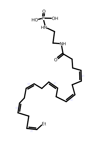 CC/C=C\C/C=C\C/C=C\C/C=C\C/C=C\C/C=C\CCC(=O)NCCNP(=O)(O)O